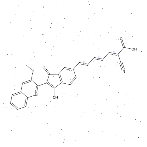 COc1cc2ccccc2nc1C1=C(O)c2ccc(/C=C/C=C/C=C(\C#N)C(=O)O)cc2C1=O